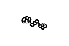 c1cc(-c2ccc3ccc4cccnc4c3n2)c2cc3cccc(-c4ccc5ccc6cccnc6c5n4)c3cc2c1